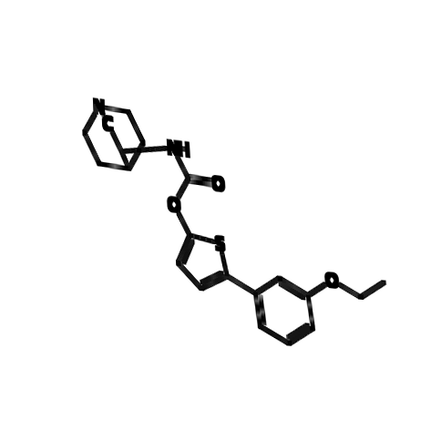 CCOc1cccc(-c2ccc(OC(=O)NC3CN4CCC3CC4)s2)c1